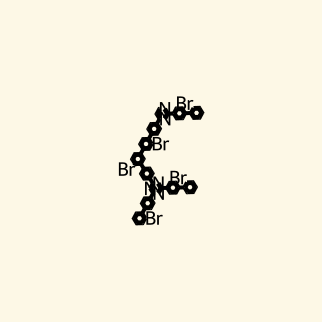 Brc1ccccc1-c1ccc(-c2nccc(-c3ccc(-c4ccc(-c5ccc(Br)c(-c6ccc(-c7nc(-c8ccc(-c9ccccc9Br)cc8)nc(-c8ccc(-c9ccccc9Br)cc8)n7)cc6)c5)cc4Br)cc3)n2)cc1